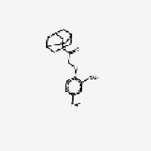 COc1cc(C=O)ccc1OCC(=O)C12CC3CC(CC(C3)C1)C2